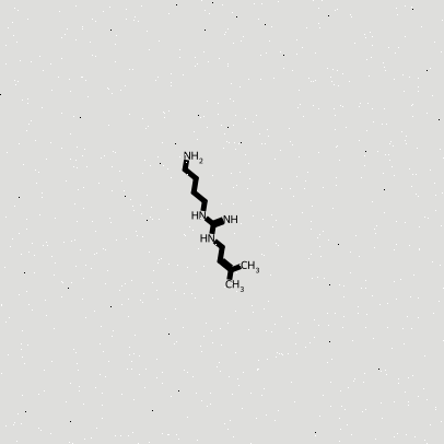 CC(C)=CCNC(=N)NCCCCN